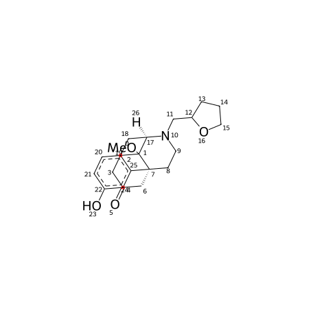 COC12CCC(=O)C[C@@]13CCN(CC1CCCO1)[C@@H]2Cc1ccc(O)cc13